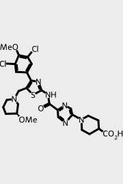 COc1c(Cl)cc(-c2nc(NC(=O)c3cnc(N4CCC(C(=O)O)CC4)cn3)sc2CN2CCC[C@H](OC)C2)cc1Cl